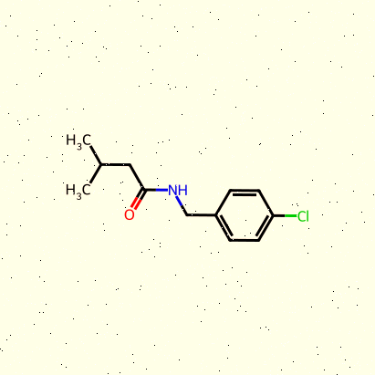 CC(C)CC(=O)NCc1ccc(Cl)cc1